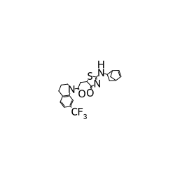 O=C1N=C(NC2CC3C=CC2C3)SC1CC(=O)N1CCCc2ccc(C(F)(F)F)cc21